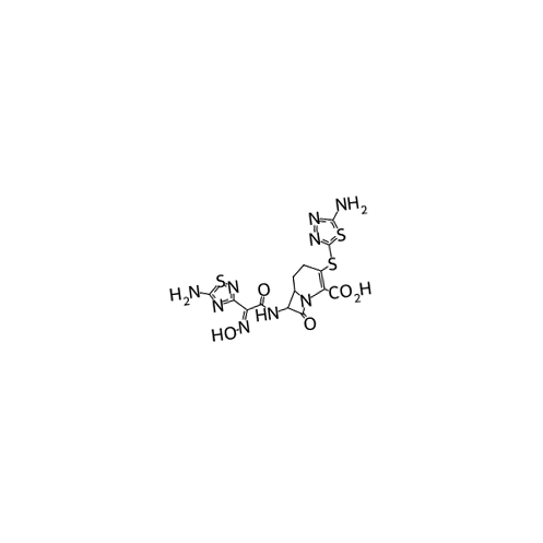 Nc1nc(C(=NO)C(=O)NC2C(=O)N3C(C(=O)O)=C(Sc4nnc(N)s4)CCC23)ns1